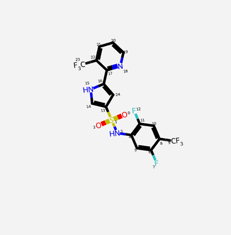 O=S(=O)(Nc1cc(F)c(C(F)(F)F)cc1F)c1c[nH]c(-c2ncccc2C(F)(F)F)c1